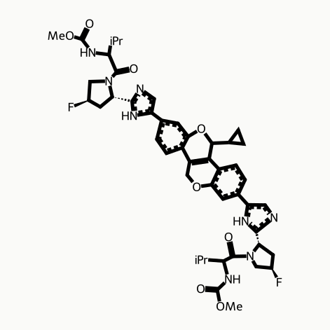 COC(=O)NC(C(=O)N1C[C@H](F)C[C@H]1c1ncc(-c2ccc3c(c2)OC(C2CC2)C2=C3COc3cc(-c4cnc([C@@H]5C[C@@H](F)CN5C(=O)C(NC(=O)OC)C(C)C)[nH]4)ccc32)[nH]1)C(C)C